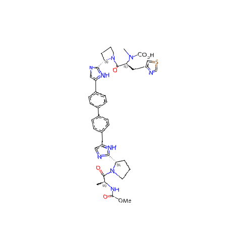 COC(=O)N[C@@H](C)C(=O)N1CCC[C@H]1c1ncc(-c2ccc(-c3ccc(-c4cnc([C@@H]5CCCN5C(=O)[C@H](Cc5cscn5)N(C)C(=O)O)[nH]4)cc3)cc2)[nH]1